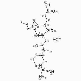 CCCCN[C@@H](CC(=O)N(C)[C@H]1CCCN(C(=N)N)C1)C(=O)N(CCC(=O)O)C1CC1.Cl